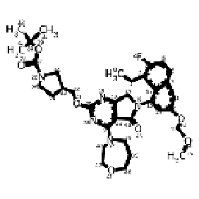 CCc1c(F)ccc2cc(OCOC)cc(N3Cc4nc(OCC5CCN(C(=O)OC(C)(C)C)C5)nc(N5CCCOCC5)c4C3=O)c12